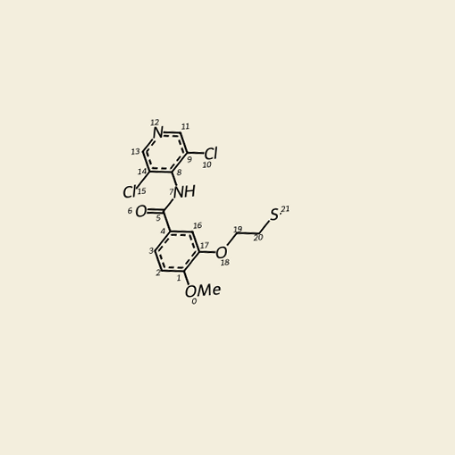 COc1ccc(C(=O)Nc2c(Cl)cncc2Cl)cc1OCC[S]